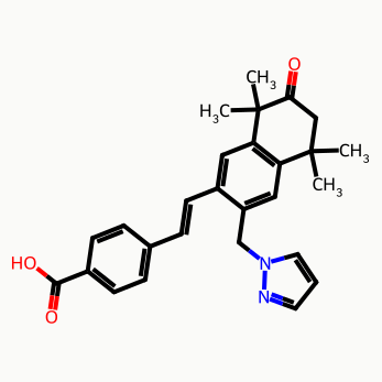 CC1(C)CC(=O)C(C)(C)c2cc(/C=C/c3ccc(C(=O)O)cc3)c(Cn3cccn3)cc21